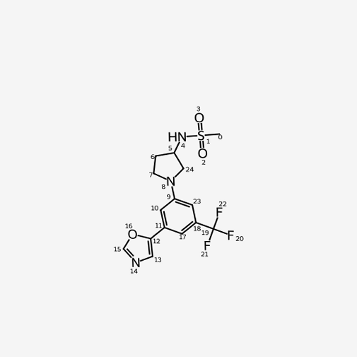 CS(=O)(=O)NC1CCN(c2cc(-c3cnco3)cc(C(F)(F)F)c2)C1